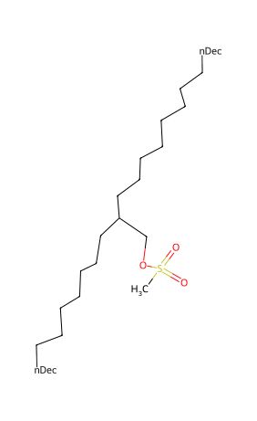 CCCCCCCCCCCCCCCCCCC(CCCCCCCCCCCCCCCCC)COS(C)(=O)=O